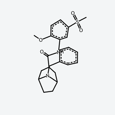 COc1ccc(S(C)(=O)=O)cc1NC(=O)C1CC2CCC(C1)N2Cc1ccccc1